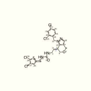 O=C(NC/C=C1\COCc2cnn(Cc3ccc(Cl)cc3Cl)c21)NSc1cc(Cl)c(Cl)s1